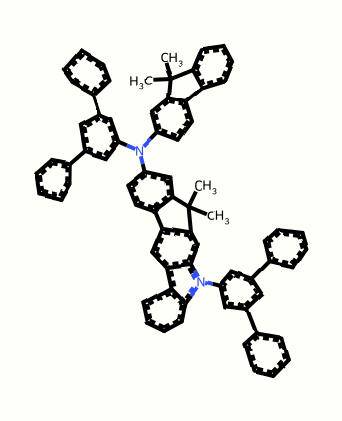 CC1(C)c2ccccc2-c2ccc(N(c3cc(-c4ccccc4)cc(-c4ccccc4)c3)c3ccc4c(c3)C(C)(C)c3cc5c(cc3-4)c3ccccc3n5-c3cc(-c4ccccc4)cc(-c4ccccc4)c3)cc21